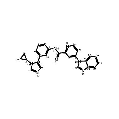 O=C(Nc1cccc(-c2cncn2C2CC2)c1)c1cc(-n2cnc3ccccc32)ccn1